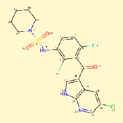 O=C(c1c(F)ccc(NS(=O)(=O)N2CCCCC2)c1F)c1c[nH]c2ncc(Cl)cc12